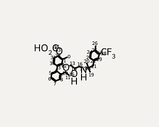 Cc1cc(-c2ccccc2C(C)OC[C@H](O)CNC(C)(C)Cc2ccc(C)c(C(F)(F)F)c2)ccc1OC(=O)O